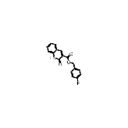 O=C(OCc1ccc(F)cc1)c1cc2ccccc2[nH]c1=O